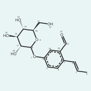 C/C=C/c1ccc(OC2O[C@H](CO)[C@@H](O)[C@H](O)[C@H]2O)cc1C=O